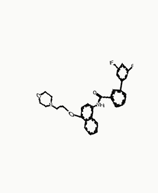 O=C(Nc1ccc(OCCN2CCOCC2)c2ccccc12)c1cccc(-c2cc(F)cc(F)c2)c1